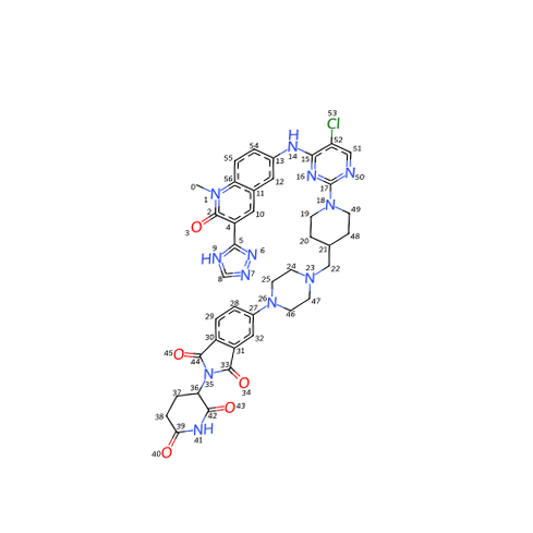 Cn1c(=O)c(-c2nnc[nH]2)cc2cc(Nc3nc(N4CCC(CN5CCN(c6ccc7c(c6)C(=O)N(C6CCC(=O)NC6=O)C7=O)CC5)CC4)ncc3Cl)ccc21